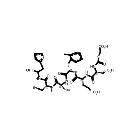 Cc1ccccc1C[C@H](NC(=O)[C@H](CCC(=O)O)NC(=O)[C@H](CC(=O)O)NC(=O)CCC(=O)O)C(=O)N[C@H](C(=O)N[C@@H](CC(C)C)C(=O)NC(C=O)Cc1cccs1)C(C)(C)C